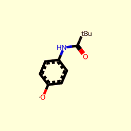 CC(C)(C)C(=O)Nc1ccc([O])cc1